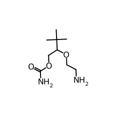 CC(C)(C)C(COC(N)=O)OCCN